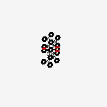 c1ccc(-c2c3c(c(-c4ccccc4)c4c2B2c5ccccc5N(c5ccccc5)c5cc(N(c6ccccc6)c6ccccc6)cc(c52)N4c2ccccc2)Oc2cc(N(c4ccccc4)c4ccccc4)cc4c2B3c2ccccc2N4c2ccccc2)cc1